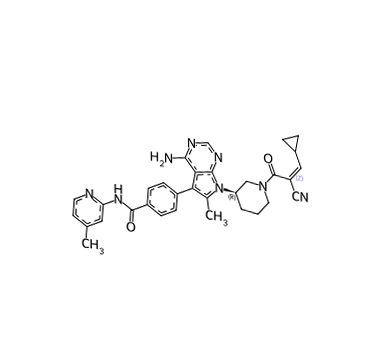 Cc1ccnc(NC(=O)c2ccc(-c3c(C)n([C@@H]4CCCN(C(=O)/C(C#N)=C\C5CC5)C4)c4ncnc(N)c34)cc2)c1